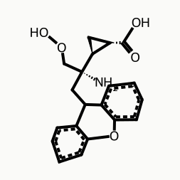 N[C@@](COO)(CC1c2ccccc2Oc2ccccc21)[C@H]1C[C@@H]1C(=O)O